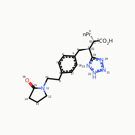 CCC[C@H](C(=O)O)[C@H](Cc1ccc(CCN2CCCC2=O)cc1)c1nn[nH]n1